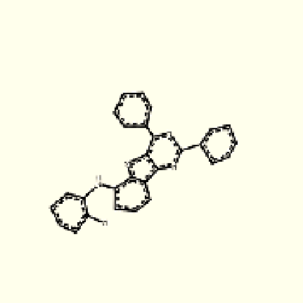 Clc1ccccc1Nc1cccc2c1sc1c(-c3ccccc3)nc(-c3ccccc3)nc12